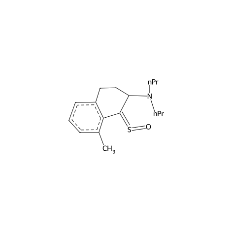 CCCN(CCC)C1CCc2cccc(C)c2C1=S=O